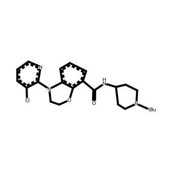 CC(C)(C)N1CCC(NC(=O)c2cccc3c2OCCN3c2ncccc2Cl)CC1